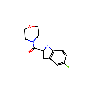 O=C(C1Cc2cc(F)ccc2N1)N1CCOCC1